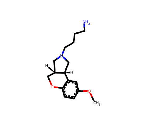 COc1ccc2c(c1)[C@H]1CN(CCCCN)C[C@H]1CO2